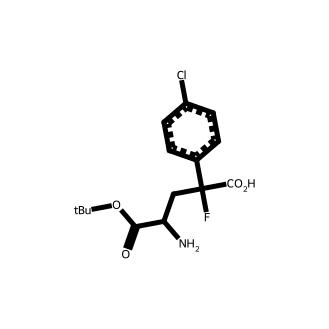 CC(C)(C)OC(=O)C(N)CC(F)(C(=O)O)c1ccc(Cl)cc1